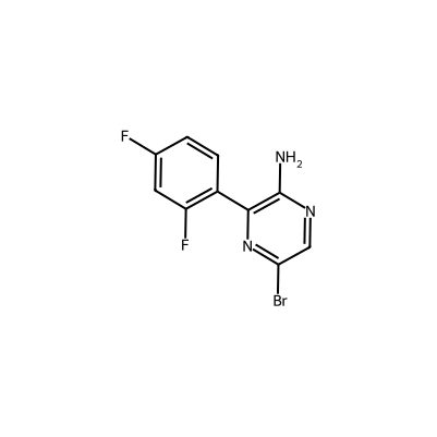 Nc1ncc(Br)nc1-c1ccc(F)cc1F